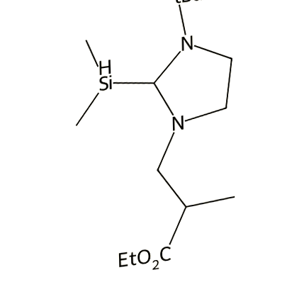 CCOC(=O)C(C)CN1CCN(C(C)(C)C)C1[SiH](C)C